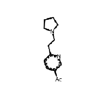 CC(=O)c1ccc(CCN2CCCC2)nc1